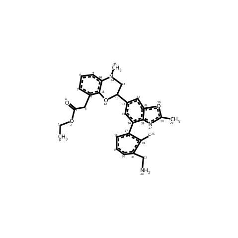 CCOC(=O)Cc1cccc2c1OC(c1cc(-c3cccc(CN)c3F)c3nc(C)oc3c1)CN2C